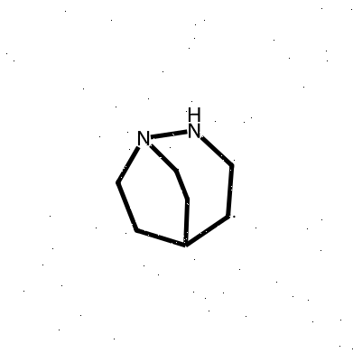 [CH]1CNN2CCC1CC2